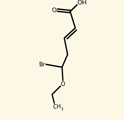 CCOC(Br)CC=CC(=O)O